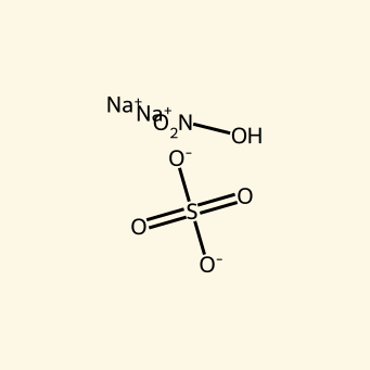 O=S(=O)([O-])[O-].O=[N+]([O-])O.[Na+].[Na+]